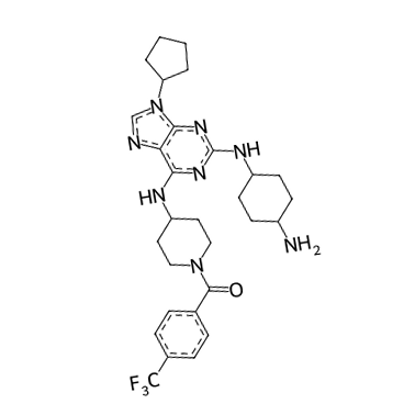 NC1CCC(Nc2nc(NC3CCN(C(=O)c4ccc(C(F)(F)F)cc4)CC3)c3ncn(C4CCCC4)c3n2)CC1